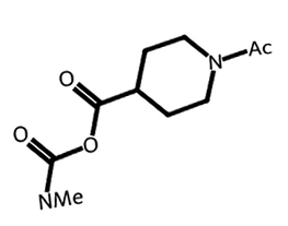 CNC(=O)OC(=O)C1CCN(C(C)=O)CC1